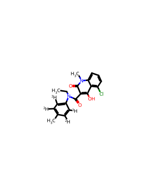 [2H]c1c([2H])c(N(CC)C(=O)c2c(O)c3c(Cl)cccc3n(C)c2=O)c([2H])c([2H])c1C